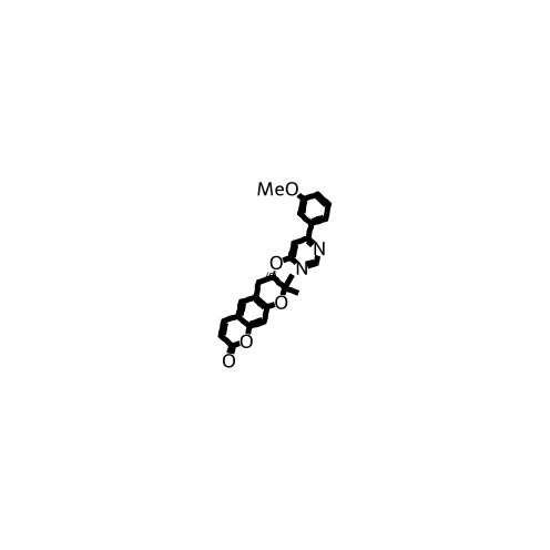 COc1cccc(-c2cc(O[C@H]3Cc4cc5ccc(=O)oc5cc4OC3(C)C)ncn2)c1